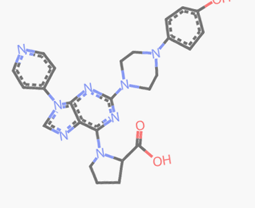 O=C(O)C1CCCN1c1nc(N2CCN(c3ccc(O)cc3)CC2)nc2c1ncn2-c1ccncc1